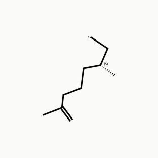 [CH2]C[C@H](C)CCCC(=C)C